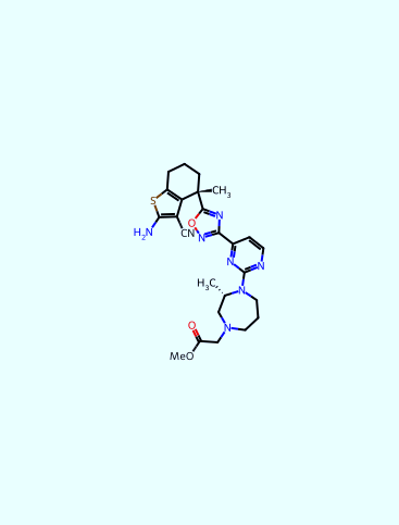 COC(=O)CN1CCCN(c2nccc(-c3noc([C@@]4(C)CCCc5sc(N)c(C#N)c54)n3)n2)[C@@H](C)C1